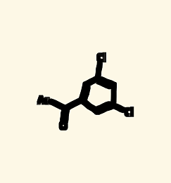 CC(=O)C(=O)c1cc(Cl)cc(Cl)c1